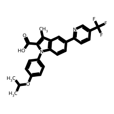 Cc1c(C(=O)O)n(-c2ccc(OC(C)C)cc2)c2ccc(-c3ccc(C(F)(F)F)cn3)cc12